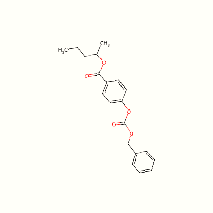 CCCC(C)OC(=O)c1ccc(OC(=O)OCc2ccccc2)cc1